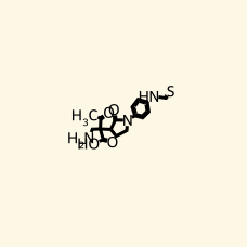 CC(=O)C(CN)(C(=O)O)C1CCN(c2ccc(NC=S)cc2)C1=O